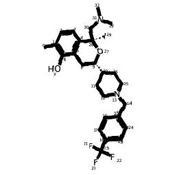 Cc1ccc2c(c1O)C[C@@H](C1CCN(Cc3ccc(C(F)(F)F)cc3)CC1)O[C@]2(I)CN(C)C